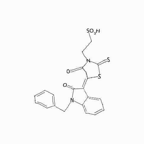 O=C1C(=C2C(=O)N(Cc3ccccc3)c3ccccc32)SC(=S)N1CCS(=O)(=O)O